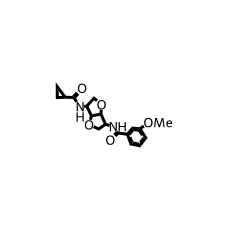 COc1cccc(C(=O)NC2COC3C(NC(=O)C4CC4)COC23)c1